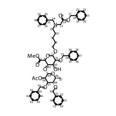 COC(=O)C1O[C@H](OCCCCCN(CC(=O)OCc2ccccc2)Cc2ccccc2)C(OCc2ccccc2)C(O)[C@H]1O[C@@H]1O[C@@H](C)[C@H](OCc2ccccc2)C(OCc2ccccc2)C1OC(C)=O